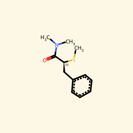 CS[C@@H](Cc1ccccc1)C(=O)N(C)C